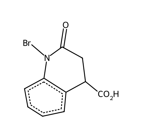 O=C(O)C1CC(=O)N(Br)c2ccccc21